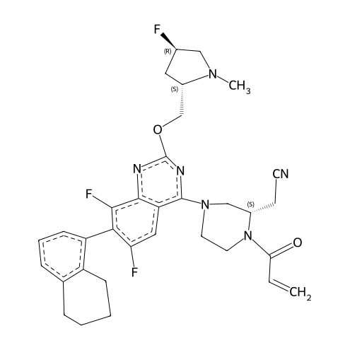 C=CC(=O)N1CCN(c2nc(OC[C@@H]3C[C@@H](F)CN3C)nc3c(F)c(-c4cccc5c4CCCC5)c(F)cc23)C[C@@H]1CC#N